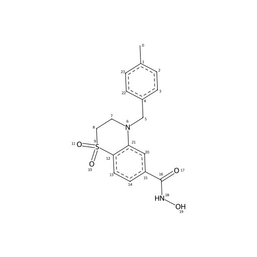 Cc1ccc(CN2CCS(=O)(=O)c3ccc(C(=O)NO)cc32)cc1